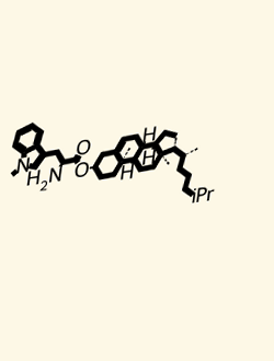 CC(C)CCC[C@@H](C)[C@H]1CC[C@H]2[C@@H]3CC=C4C[C@@H](OC(=O)[C@@H](N)Cc5cn(C)c6ccccc56)CC[C@]4(C)[C@H]3CC[C@]12C